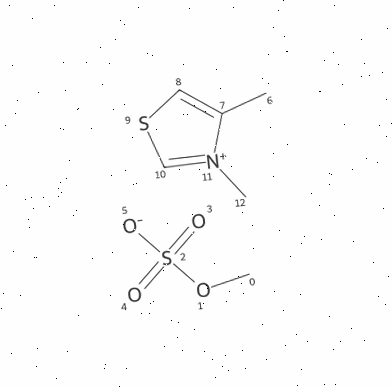 COS(=O)(=O)[O-].Cc1csc[n+]1C